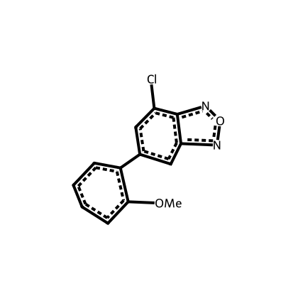 COc1ccccc1-c1cc(Cl)c2nonc2c1